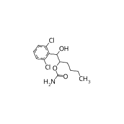 CCCCC(OC(N)=O)C(O)c1c(Cl)cccc1Cl